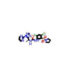 C[C@H](NC(=O)Nc1cc(S(=O)(=O)N2CCCC2)c(Cl)cc1F)c1ncnn1-c1ncccn1